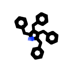 c1ccc(Cc2[nH]c(Cc3ccccc3)c(Cc3ccccc3)c2Cc2ccccc2)cc1